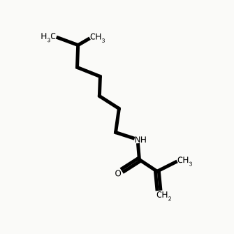 C=C(C)C(=O)NCCCCCC(C)C